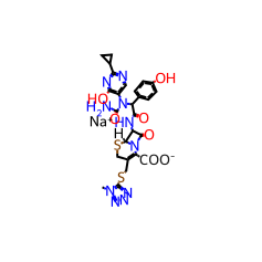 Cn1nnnc1SCC1=C(C(=O)[O-])N2C(=O)C(NC(=O)C(c3ccc(O)cc3)N(C(N)=O)c3cnc(C4CC4)nc3O)[C@H]2SC1.[Na+]